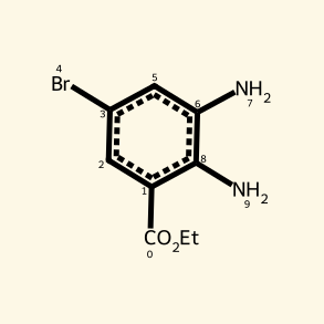 CCOC(=O)c1cc(Br)cc(N)c1N